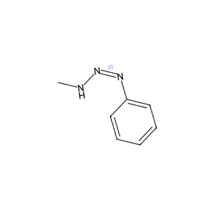 CN/N=N\c1ccccc1